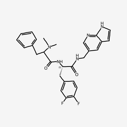 CN(C)C(Cc1ccccc1)C(=O)N[C@@H](Cc1ccc(F)c(F)c1)C(=O)NCc1cnc2[nH]ccc2c1